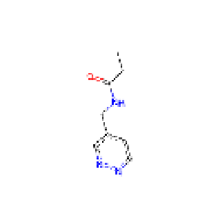 CCC(=O)NCc1ccnnc1